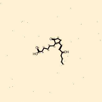 CCCCC(O)C=CC1CCC(=O)C1CCCCCC(=O)O